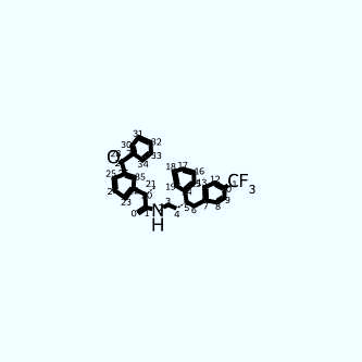 C=C(NCC[C@@H](Cc1ccc(C(F)(F)F)cc1)c1ccccc1)[C@@H](C)c1cccc(C(=O)c2ccccc2)c1